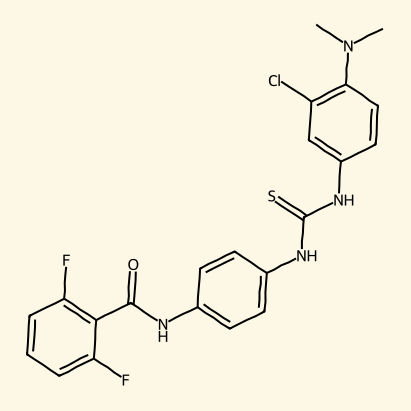 CN(C)c1ccc(NC(=S)Nc2ccc(NC(=O)c3c(F)cccc3F)cc2)cc1Cl